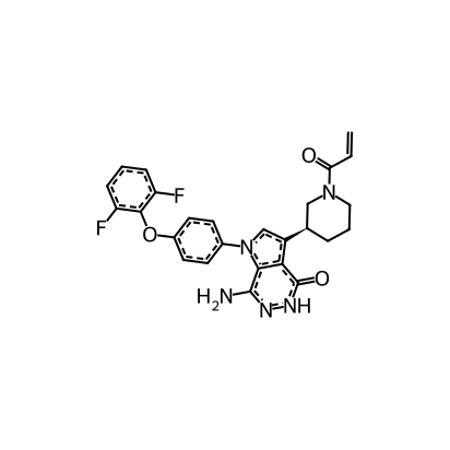 C=CC(=O)N1CCC[C@@H](c2cn(-c3ccc(Oc4c(F)cccc4F)cc3)c3c(N)n[nH]c(=O)c23)C1